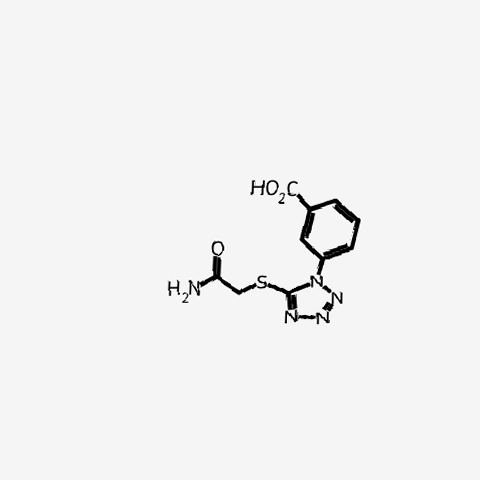 NC(=O)CSc1nnnn1-c1cccc(C(=O)O)c1